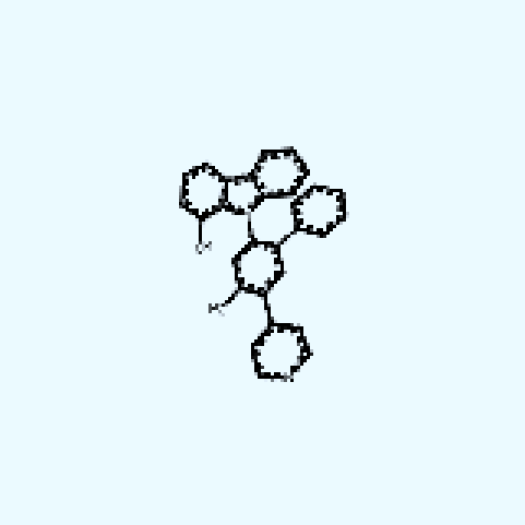 N#Cc1cc(-n2c3ccccc3c3cccc(C#N)c32)c(-c2ccccc2)cc1-c1ccncc1